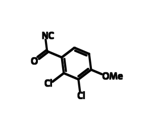 [C-]#[N+]C(=O)c1ccc(OC)c(Cl)c1Cl